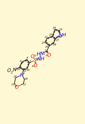 O=C(NNS(=O)(=O)c1ccc([N+](=O)[O-])c(N2CCOCC2)c1)c1ccc2cc[nH]c2c1